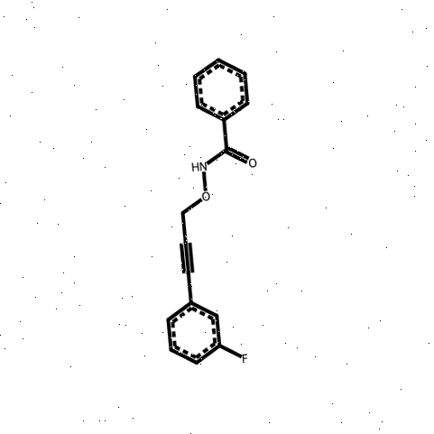 O=C(NOCC#Cc1cccc(F)c1)c1ccccc1